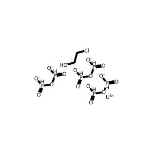 O=[PH]([O-])O[PH](=O)[O-].O=[PH]([O-])O[PH](=O)[O-].O=[PH]([O-])O[PH](=O)[O-].OCCCl.[U+6]